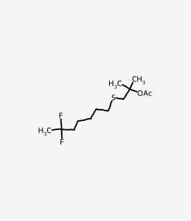 CC(=O)OC(C)(C)CSCCCCCC(C)(F)F